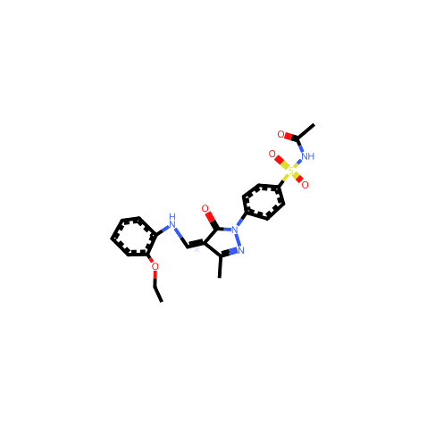 CCOc1ccccc1N/C=C1\C(=O)N(c2ccc(S(=O)(=O)NC(C)=O)cc2)N=C1C